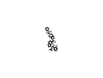 O=C(NC1CCCCC1)N1CCC2(CC1)CCN(C(=O)c1ccc3c(c1)C(N(C(=O)c1ccccc1Cl)C1CC1)CC3)C2